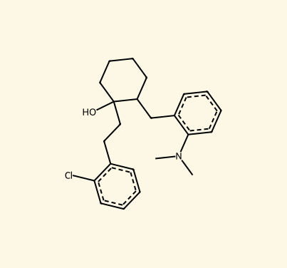 CN(C)c1ccccc1CC1CCCCC1(O)CCc1ccccc1Cl